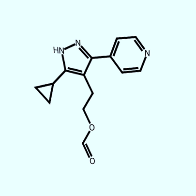 O=COCCc1c(-c2ccncc2)n[nH]c1C1CC1